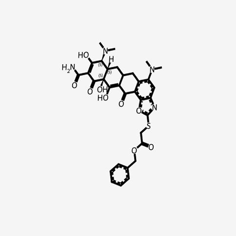 CN(C)c1cc2nc(SCC(=O)OCc3ccccc3)oc2c2c1CC1C[C@H]3[C@H](N(C)C)C(O)=C(C(N)=O)C(=O)[C@@]3(O)C(O)=C1C2=O